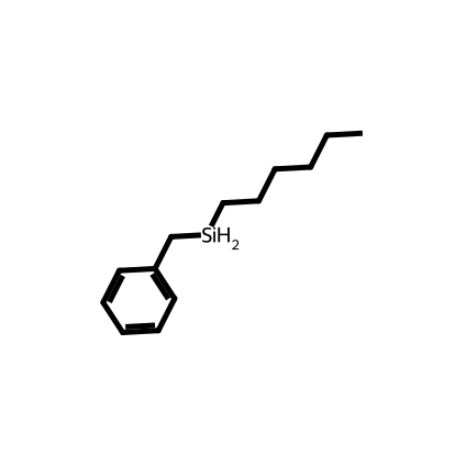 CCCCCC[SiH2]Cc1ccccc1